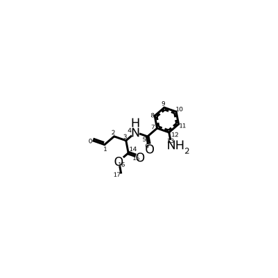 C=CCC(NC(=O)c1ccccc1N)C(=O)OC